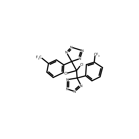 FC(F)(F)c1cccc(C2(C(Cl)(Cl)C3(c4cccc(C(F)(F)F)c4)N=NN=N3)N=NN=N2)c1